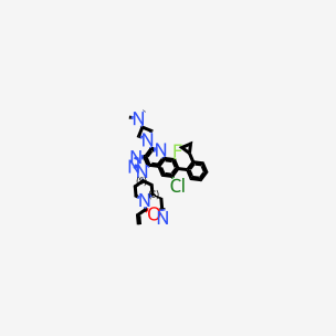 C=CC(=O)N1CC[C@H](n2nnc3c(N4CC(N(C)C)C4)nc4c(F)c(-c5ccccc5C5CC5)c(Cl)cc4c32)C[C@H]1CC#N